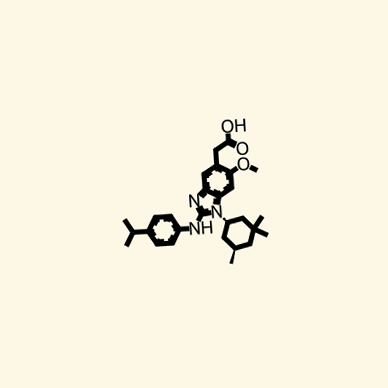 COc1cc2c(cc1CC(=O)O)nc(Nc1ccc(C(C)C)cc1)n2[C@H]1C[C@H](C)CC(C)(C)C1